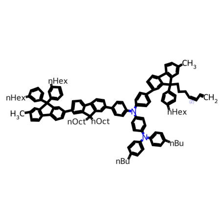 C=C/C=C\CCCC1(c2ccc(CCCCCC)cc2)c2cc(C)ccc2-c2ccc(-c3ccc(N(c4ccc(-c5ccc6c(c5)C(CCCCCCCC)(CCCCCCCC)c5cc(-c7ccc8c(c7)C(c7cccc(CCCCCC)c7)(c7cccc(CCCCCC)c7)c7cc(C)ccc7-8)ccc5-6)cc4)c4ccc(N(c5ccc(CCCC)cc5)c5ccc(CCCC)cc5)cc4)cc3)cc21